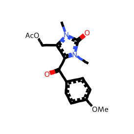 COc1ccc(C(=O)c2c(COC(C)=O)n(C)c(=O)n2C)cc1